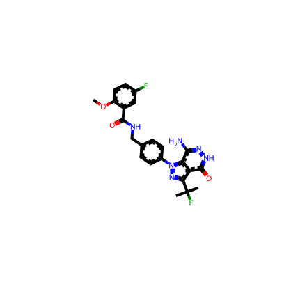 COc1ccc(F)cc1C(=O)NCc1ccc(-n2nc(C(C)(C)F)c3c(=O)[nH]nc(N)c32)cc1